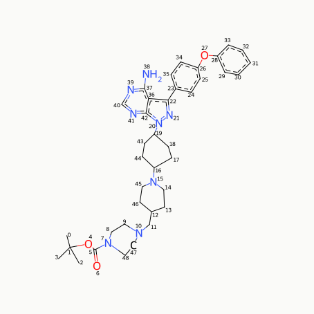 CC(C)(C)OC(=O)N1CCN(CC2CCN(C3CCC(n4nc(-c5ccc(Oc6ccccc6)cc5)c5c(N)ncnc54)CC3)CC2)CC1